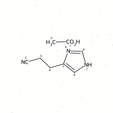 CC(=O)O.N#CCCc1c[nH]cn1